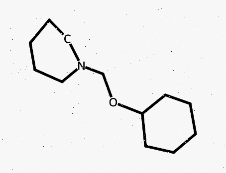 C1CCC(OCN2CCCCC2)CC1